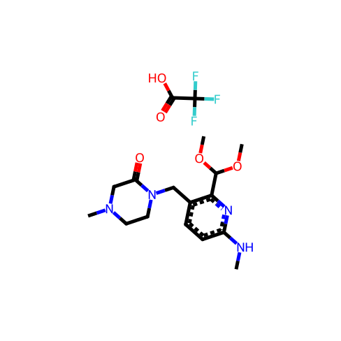 CNc1ccc(CN2CCN(C)CC2=O)c(C(OC)OC)n1.O=C(O)C(F)(F)F